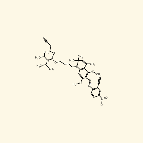 COc1cc2c(c(OC)c1/N=N/c1ccc([N+](=O)[O-])cc1C#N)C(C)=CC(C)(C)N2CCCCOP(OCCC#N)N(C(C)C)C(C)C